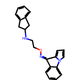 c1ccc2c(c1)CC(NCCO/N=C1/c3ccccc3-n3cccc31)C2